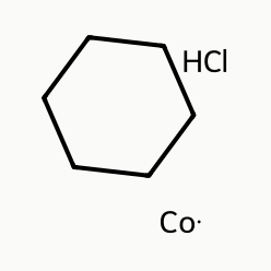 C1CCCCC1.Cl.[Co]